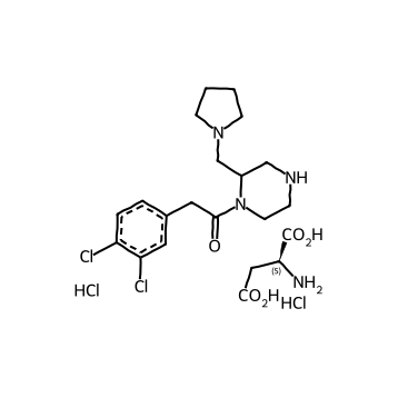 Cl.Cl.N[C@@H](CC(=O)O)C(=O)O.O=C(Cc1ccc(Cl)c(Cl)c1)N1CCNCC1CN1CCCC1